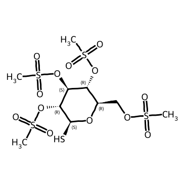 CS(=O)(=O)OC[C@H]1O[C@@H](S)[C@H](OS(C)(=O)=O)[C@@H](OS(C)(=O)=O)[C@@H]1OS(C)(=O)=O